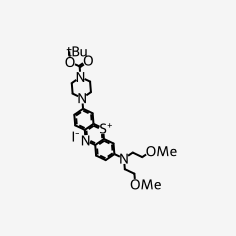 COCCN(CCOC)c1ccc2nc3ccc(N4CCN(C(=O)OC(C)(C)C)CC4)cc3[s+]c2c1.[I-]